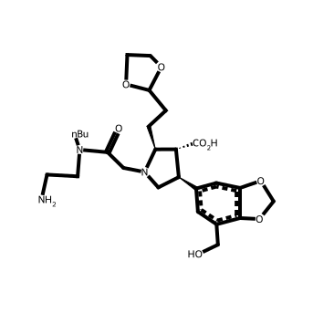 CCCCN(CCN)C(=O)CN1C[C@H](c2cc(CO)c3c(c2)OCO3)[C@@H](C(=O)O)[C@@H]1CCC1OCCO1